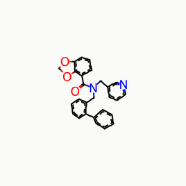 O=C(c1cccc2c1OCO2)N(Cc1cccnc1)Cc1ccccc1-c1ccccc1